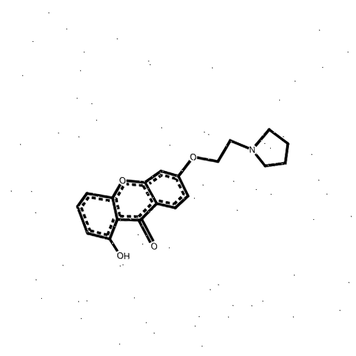 O=c1c2ccc(OCCN3CCCC3)cc2oc2cccc(O)c12